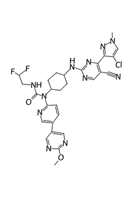 COc1ncc(-c2ccc(N(C(=O)NCC(F)F)C3CCC(Nc4ncc(C#N)c(-c5nn(C)cc5Cl)n4)CC3)nc2)cn1